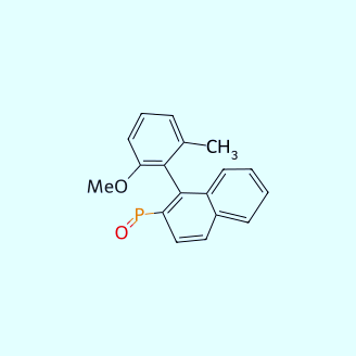 COc1cccc(C)c1-c1c(P=O)ccc2ccccc12